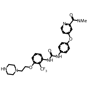 CNC(=O)c1cc(Oc2ccc(NC(=O)Nc3cccc(OCCN4CCNCC4)c3C(F)(F)F)cc2)ccn1